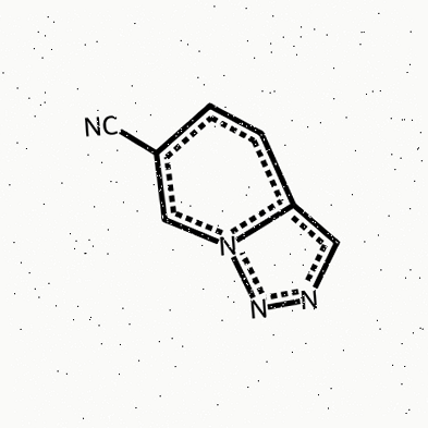 N#Cc1ccc2cnnn2c1